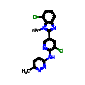 CCCn1c(-c2cnc(Nc3ccc(C)nn3)c(Cl)c2)nc2cccc(Cl)c21